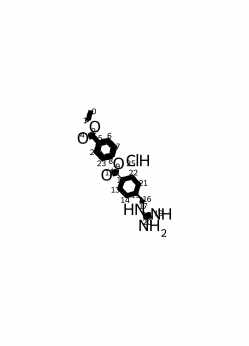 CCOC(=O)c1ccc(OC(=O)[C@H]2CC[C@H](CNC(=N)N)CC2)cc1.Cl